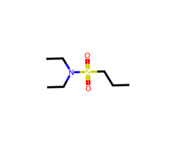 CCCS(=O)(=O)N(CC)CC